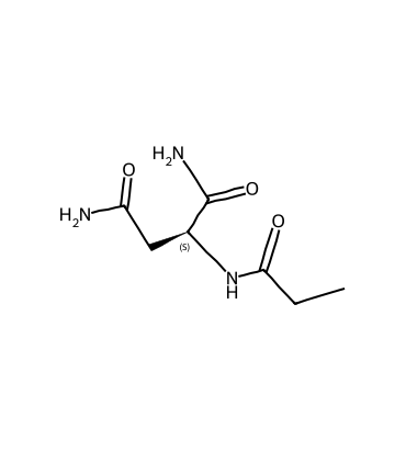 CCC(=O)N[C@@H](CC(N)=O)C(N)=O